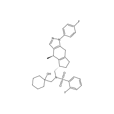 C[C@@H]1C2=C(CC[C@@H]2CN(CC2(O)CCCCC2)S(=O)(=O)c2ccccc2F)Cc2c1cnn2-c1ccc(F)cc1